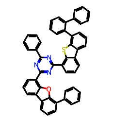 c1ccc(-c2nc(-c3cccc4c3oc3c(-c5ccccc5)cccc34)nc(-c3cccc4c3sc3c(-c5ccccc5-c5ccccc5)cccc34)n2)cc1